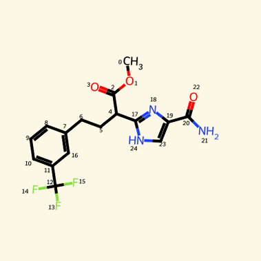 COC(=O)C(CCc1cccc(C(F)(F)F)c1)c1nc(C(N)=O)c[nH]1